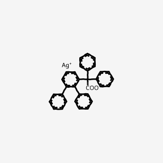 O=C([O-])C(c1ccccc1)(c1ccccc1)c1cccc(-c2ccccc2)c1-c1ccccc1.[Ag+]